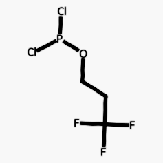 FC(F)(F)CCOP(Cl)Cl